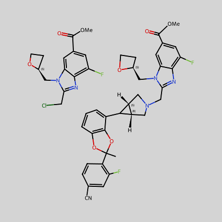 COC(=O)c1cc(F)c2nc(CCl)n(C[C@@H]3CCO3)c2c1.COC(=O)c1cc(F)c2nc(CN3C[C@@H]4C(c5cccc6c5OC(C)(c5ccc(C#N)cc5F)O6)[C@@H]4C3)n(C[C@@H]3CCO3)c2c1